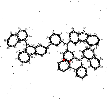 c1ccc(-c2ccccc2N(c2cccc(N(c3cccc(-c4ccc5c6ccccc6n(-c6cccc7ccccc67)c5c4)c3)c3ccc4sc5ccccc5c4c3)c2)c2cccc3ccccc23)cc1